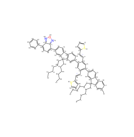 CCCCCCC1(CCCCCC)c2cc(C)ccc2-c2ccc(-c3cc(/C=C/c4cccs4)c(-c4ccc5c(c4)C(CCCCCC)(CCCCCC)c4cc(-c6ccc(-c7ccccc7)c7nonc67)ccc4-5)cc3/C=C/c3cccs3)cc21